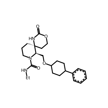 CCNC(=O)N1CCC[C@]2(CCOC(=O)N2)[C@H]1COC1CCC(c2ccccc2)CC1